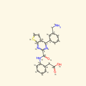 NCc1cccc(-c2nc(C(=O)Nc3ccccc3CC(=O)O)nc3sccc23)c1